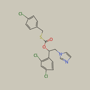 O=C(OC(Cn1ccnc1)c1ccc(Cl)cc1Cl)SCc1ccc(Cl)cc1